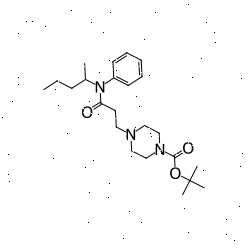 CCCC(C)N(C(=O)CCN1CCN(C(=O)OC(C)(C)C)CC1)c1ccccc1